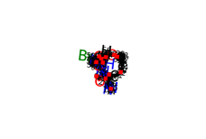 CC(=O)c1nn2c3c(cc(-c4cnc(C)nc4)cc13)CCCCCCCc1cccc(c1)COC[C@@]13C4[C@H]([C@H]41)N(C(=O)C2)[C@@H]3C(=O)Nc1nc(Br)ccc1C